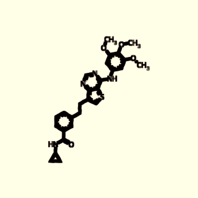 COc1cc(Nc2ncnc3c(CCc4cccc(C(=O)NC5CC5)c4)csc23)cc(OC)c1OC